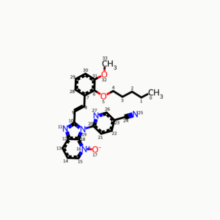 CCCCCOc1c(/C=C/c2nc3ccc[n+]([O-])c3n2-c2ccc(C#N)cn2)cccc1OC